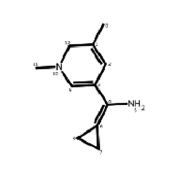 CC1=CC(C(N)=C2CC2)=CN(C)C1